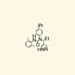 CCC(c1cn[nH]c1)N(C(=O)Nc1c(C)cccc1C)c1ccc(C(C)C)cc1